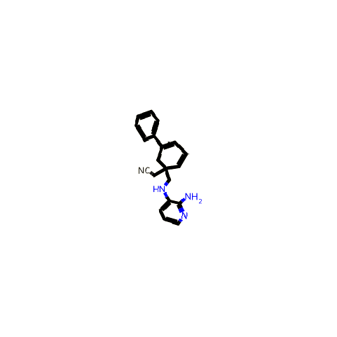 N#CCC1(CNc2cccnc2N)C=CC=C(c2ccccc2)C1